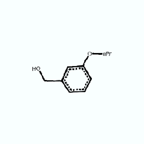 [CH2]CCOc1cccc(CO)c1